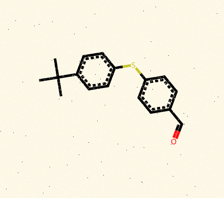 CC(C)(C)c1ccc(Sc2ccc([C]=O)cc2)cc1